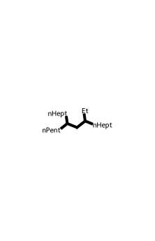 CCCCCCCC([CH]C(CCCCC)CCCCCCC)CC